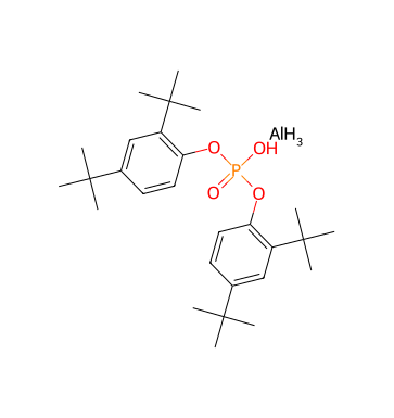 CC(C)(C)c1ccc(OP(=O)(O)Oc2ccc(C(C)(C)C)cc2C(C)(C)C)c(C(C)(C)C)c1.[AlH3]